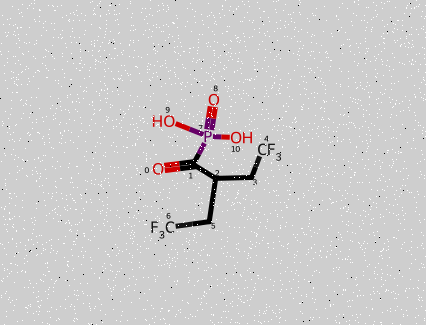 O=C(C(CC(F)(F)F)CC(F)(F)F)P(=O)(O)O